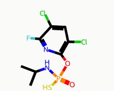 CC(C)NP(=O)(S)Oc1nc(F)c(Cl)cc1Cl